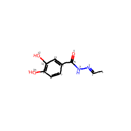 C/C=N/NC(=O)c1ccc(O)c(O)c1